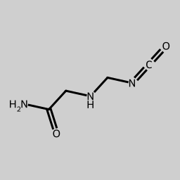 NC(=O)CNCN=C=O